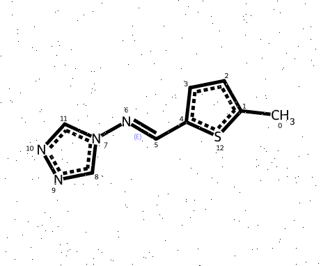 Cc1ccc(/C=N/n2cnnc2)s1